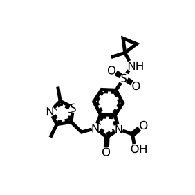 Cc1nc(C)c(Cn2c(=O)n(C(=O)O)c3cc(S(=O)(=O)NC4(C)CC4)ccc32)s1